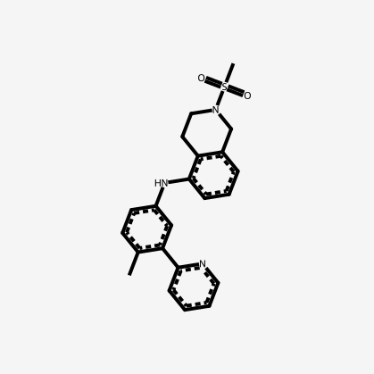 Cc1ccc(Nc2cccc3c2CCN(S(C)(=O)=O)C3)cc1-c1ccccn1